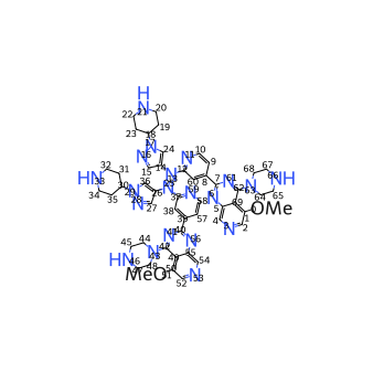 COc1cncc2nc(-c3ccnc(N(c4cnn(C5CCNCC5)c4)N(c4cnn(C5CCNCC5)c4)c4cc(-c5nc(N6CCNCC6)c6c(OC)cncc6n5)ccn4)c3)nc(N3CCNCC3)c12